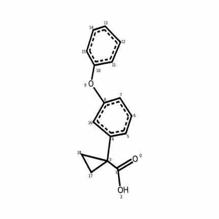 O=C(O)C1(c2cccc(Oc3ccccc3)c2)CC1